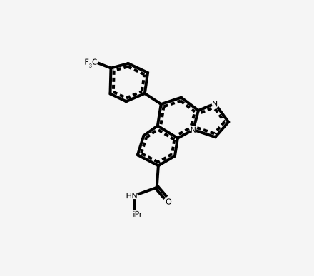 CC(C)NC(=O)c1ccc2c(-c3ccc(C(F)(F)F)cc3)cc3nccn3c2c1